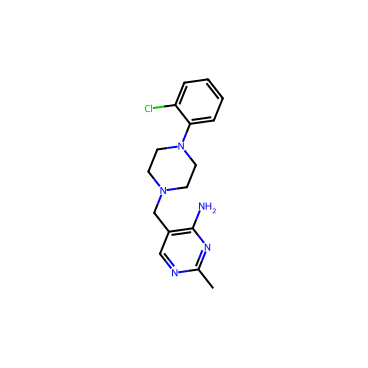 Cc1ncc(CN2CCN(c3ccccc3Cl)CC2)c(N)n1